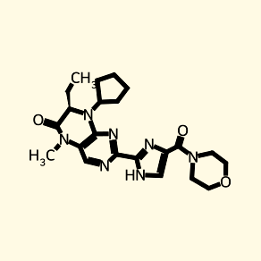 CC[C@@H]1C(=O)N(C)c2cnc(-c3nc(C(=O)N4CCOCC4)c[nH]3)nc2N1C1CCCC1